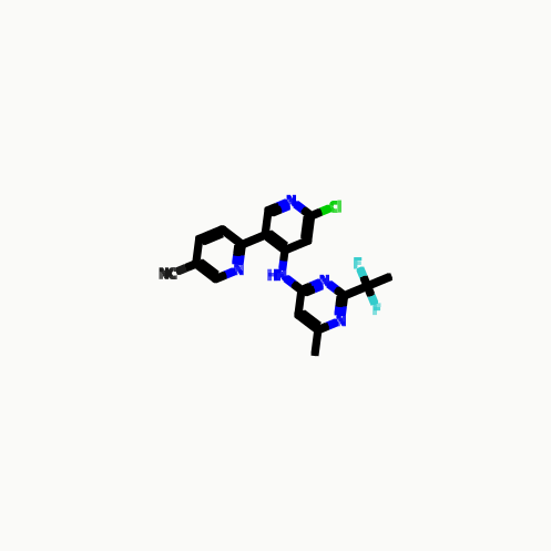 Cc1cc(Nc2cc(Cl)ncc2-c2ccc(C#N)cn2)nc(C(C)(F)F)n1